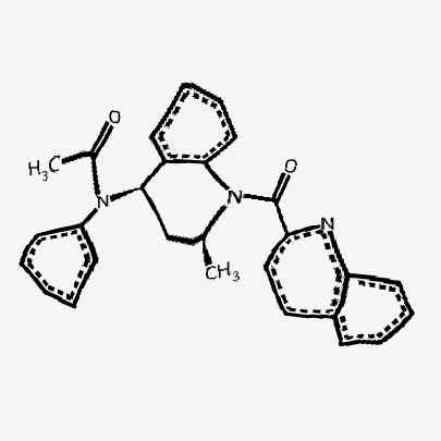 CC(=O)N(c1ccccc1)[C@@H]1C[C@H](C)N(C(=O)c2ccc3ccccc3n2)c2ccccc21